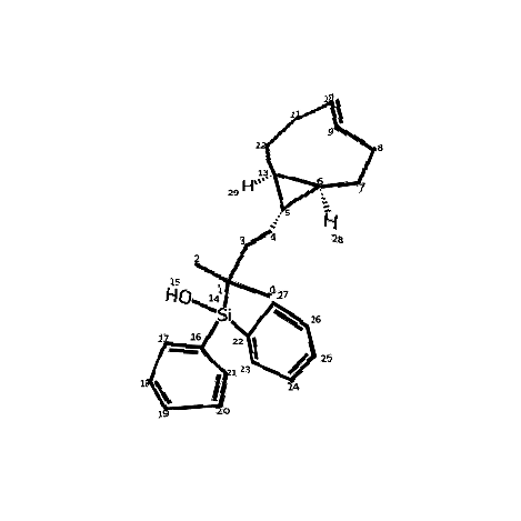 CC(C)(CC[C@H]1[C@@H]2CC/C=C/CC[C@@H]21)[Si](O)(c1ccccc1)c1ccccc1